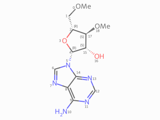 COC[C@H]1O[C@@H](n2cnc3c(N)ncnc32)[C@@H](O)[C@@H]1OC